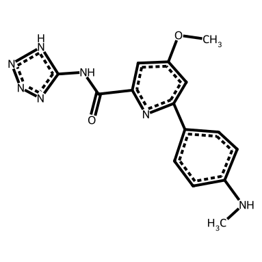 CNc1ccc(-c2cc(OC)cc(C(=O)Nc3nnn[nH]3)n2)cc1